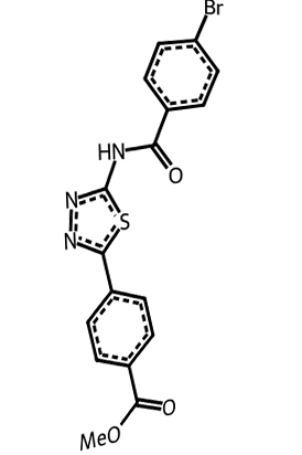 COC(=O)c1ccc(-c2nnc(NC(=O)c3ccc(Br)cc3)s2)cc1